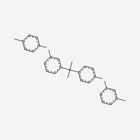 Cc1ccc(Oc2cccc(C(C)(C)c3ccc(Oc4cccc(C)c4)cc3)c2)cc1